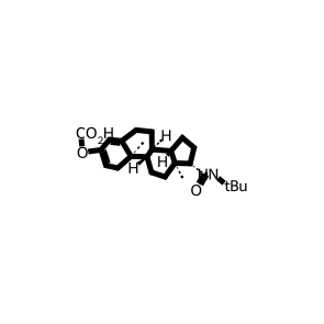 CC(C)(C)NC(=O)[C@H]1CC[C@H]2[C@@H]3CCC4=CC(OC(=O)O)=CC[C@]4(C)[C@H]3CC[C@]12C